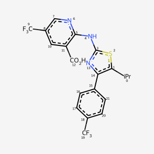 CC(C)c1sc(Nc2ncc(C(F)(F)F)cc2C(=O)O)nc1-c1ccc(C(F)(F)F)cc1